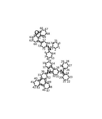 c1ccc(N(c2ccc(-c3ccc4c(c3)c3cc(N(c5ccccc5)c5ccccc5)ccc3n4-c3ccc4c5ccccc5c5ccccc5c4c3)cc2)c2ccc(-c3cccc4oc5ccccc5c34)cc2)cc1